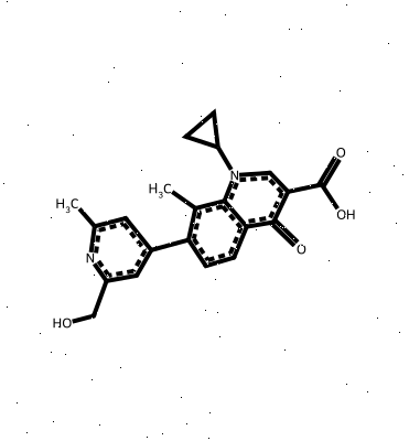 Cc1cc(-c2ccc3c(=O)c(C(=O)O)cn(C4CC4)c3c2C)cc(CO)n1